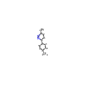 CC(C)c1ccc(-c2ccc(C(F)(F)F)cc2)nn1